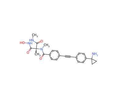 CNC(=O)[C@@](C)(C(=O)NO)N(C)C(=O)c1ccc(C#Cc2ccc(C3(N)CC3)cc2)cc1